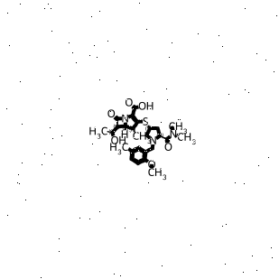 COc1ccc(C)cc1CN1C[C@@H](SC2=C(C(=O)O)N3C(=O)[C@H]([C@@H](C)O)[C@H]3[C@H]2C)C[C@H]1C(=O)N(C)C